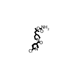 CC(C)(CC1CCN(C(=O)c2ccc(Cl)nc2)CC1)OC(N)=O